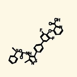 Cc1nsc(-c2ccc(-c3cc(F)c(Oc4cccnc4C(=O)O)c(F)c3)cc2)c1NC(=O)O[C@H](C)c1ccccc1